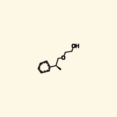 C[C@H](COCCO)c1ccccc1